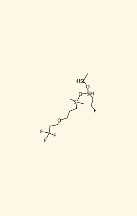 C[SiH](C)O[SiH](CCF)O[Si](C)(C)CCCOCCC(F)(F)F